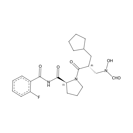 O=CN(O)C[C@@H](CC1CCCC1)C(=O)N1CCC[C@H]1C(=O)NC(=O)c1ccccc1F